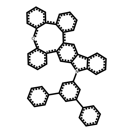 c1ccc(-c2cc(-c3ccccc3)cc(-n3c4ccccc4c4cc5c(cc43)c3ccccc3oc3ccccc3c3ccccc35)c2)cc1